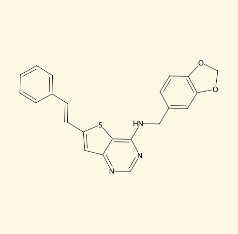 C(=Cc1cc2ncnc(NCc3ccc4c(c3)OCO4)c2s1)c1ccccc1